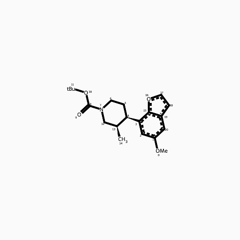 COc1cc([C@@H]2CCN(C(=O)OC(C)(C)C)C[C@@H]2C)c2occc2c1